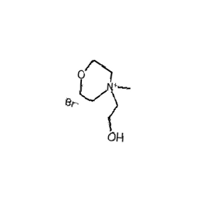 C[N+]1(CCO)CCOCC1.[Br-]